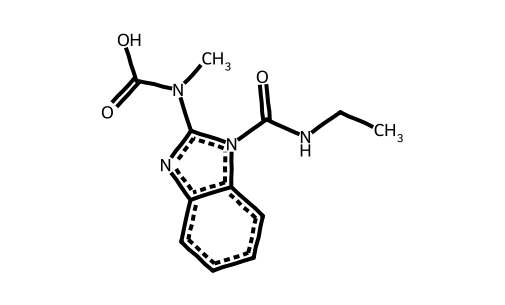 CCNC(=O)n1c(N(C)C(=O)O)nc2ccccc21